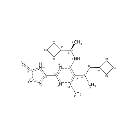 C[C@@H](Nc1nc(-c2noc(=O)[nH]2)nc(N)c1N(C)CC1CCC1)C1CCC1